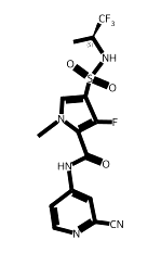 C[C@H](NS(=O)(=O)c1cn(C)c(C(=O)Nc2ccnc(C#N)c2)c1F)C(F)(F)F